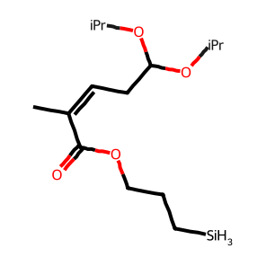 CC(=CCC(OC(C)C)OC(C)C)C(=O)OCCC[SiH3]